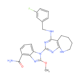 COc1nc2c(C(N)=O)cccc2n1-c1nc2c(c(NCc3cccc(F)c3)n1)CCCCN2